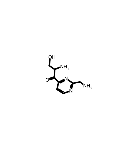 NCc1nccc(C(=O)C(N)CO)n1